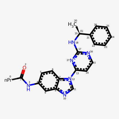 CCCC(=O)Nc1ccc2c(c1)ncn2-c1ccnc(N[C@@H](C)c2ccccc2)n1